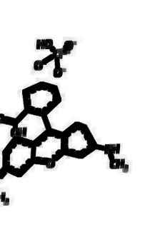 C/N=c1/ccc2c(-c3ccccc3C(=O)O)c3ccc(NC)cc3oc-2c1.[O-][Cl+3]([O-])([O-])O